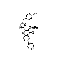 CCCCOc1c(-c2ncc(Cc3ccc(Cl)cc3)s2)nc2ccc(N3CCOCC3)cn2c1=O